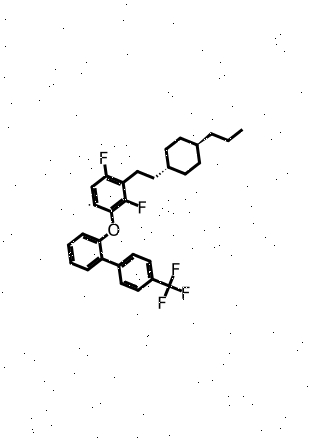 CCC[C@H]1CC[C@H](CCc2c(F)c[c]c(Oc3ccccc3-c3ccc(C(F)(F)F)cc3)c2F)CC1